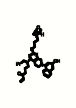 C=CC(=O)CCCN(CC(C)C)c1nc(OCCCN2CC3OC[C@H]32)nc2c1CCN(c1cc(O)cc3ccccc13)C2